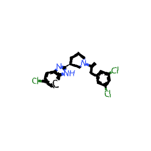 C=C(Cc1cc(Cl)cc(Cl)c1)N1CCC[C@H](c2nc3cc(Cl)ccc3[nH]2)C1